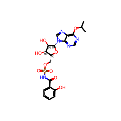 CC(C)Oc1ncnc2c1ncn2[C@@H]1O[C@H](COS(=O)(=O)NC(=O)c2ccccc2O)[C@@H](O)[C@H]1O